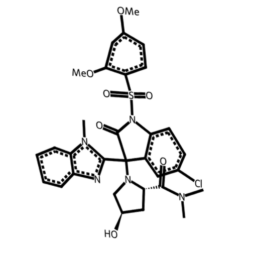 COc1ccc(S(=O)(=O)N2C(=O)C(c3nc4ccccc4n3C)(N3C[C@H](O)C[C@H]3C(=O)N(C)C)c3cc(Cl)ccc32)c(OC)c1